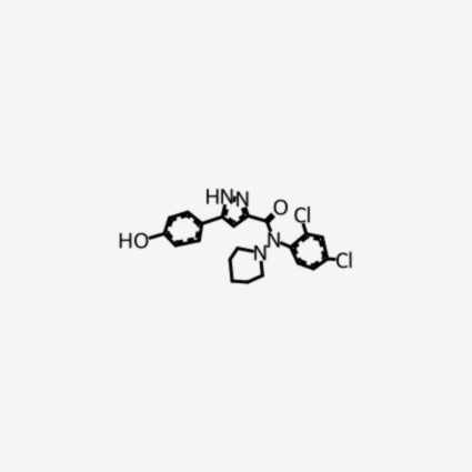 O=C(c1cc(-c2ccc(O)cc2)[nH]n1)N(c1ccc(Cl)cc1Cl)N1CCCCC1